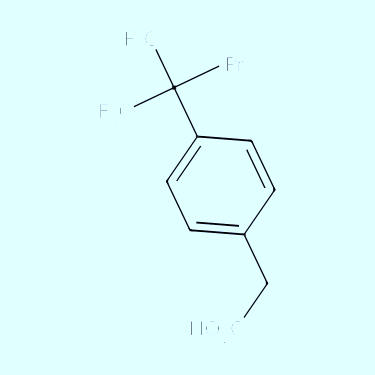 CC(C)C(c1ccc(CC(=O)O)cc1)(C(F)(F)F)C(F)(F)F